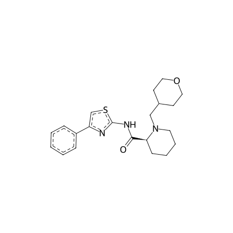 O=C(Nc1nc(-c2ccccc2)cs1)[C@@H]1CCCCN1CC1CCOCC1